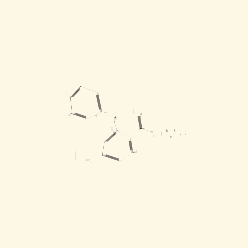 COC(=O)c1ccccc1Oc1ccccc1.Cl